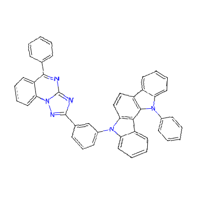 c1ccc(-c2nc3nc(-c4cccc(-n5c6ccccc6c6c5ccc5c7ccccc7n(-c7ccccc7)c56)c4)nn3c3ccccc23)cc1